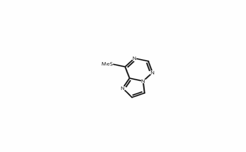 CSc1ncnn2ccnc12